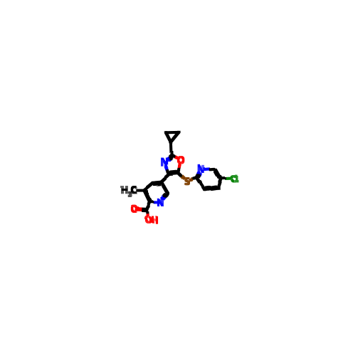 Cc1cc(-c2nc(C3CC3)oc2Sc2ccc(Cl)cn2)cnc1C(=O)O